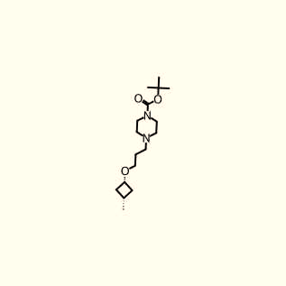 CC(C)(C)OC(=O)N1CCN(CCCO[C@H]2C[C@@H](C)C2)CC1